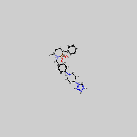 C[C@H]1CCC(c2ccccc2)S(=O)(=O)N1Cc1ccc(N2CCC(n3cnnn3)CC2)cc1